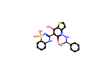 CC(Nn1c(=O)c(C2=NS(O)(O)c3ccccc3N2)c(O)c2sccc21)c1ccccc1